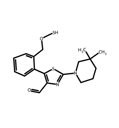 CC1(C)CCCN(c2nc(C=O)c(-c3ccccc3COS)s2)C1